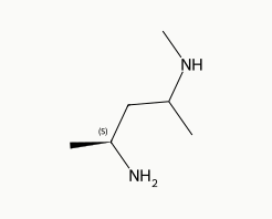 CNC(C)C[C@H](C)N